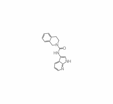 O=C(Nc1c[nH]c2ncccc12)N1CCc2ccccc2C1